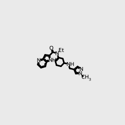 CCN(C(=O)c1cc2ncccc2[nH]1)C1=CCCC(NCc2cnn(C)c2)C1